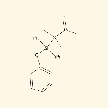 C=C(C)C(C)(C)[Si](Oc1ccccc1)(C(C)C)C(C)C